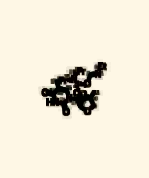 CC/N=C/OP(OC1C2OCC1(C)OC2n1cc(C)c(=O)[nH]c1=O)N(C(C)C)C(C)C